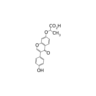 CC(Oc1ccc2c(=O)c(-c3ccc(O)cc3)coc2c1)C(=O)O